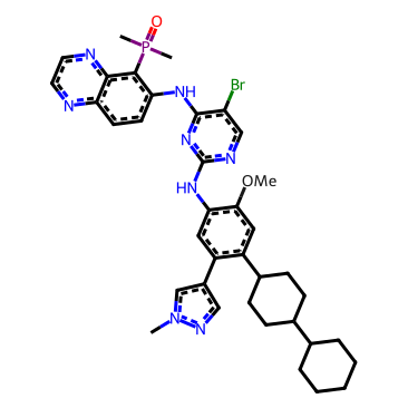 COc1cc(C2CCC(C3CCCCC3)CC2)c(-c2cnn(C)c2)cc1Nc1ncc(Br)c(Nc2ccc3nccnc3c2P(C)(C)=O)n1